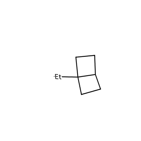 C[CH]C12CCC1CC2